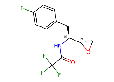 O=C(N[C@@H](Cc1ccc(F)cc1)[C@@H]1CO1)C(F)(F)F